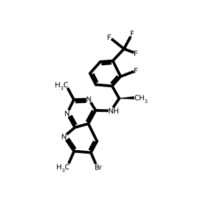 Cc1nc(N[C@H](C)c2cccc(C(F)(F)F)c2F)c2cc(Br)c(C)nc2n1